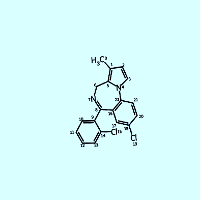 Cc1ccn2c1CN=C(c1ccccc1Cl)c1cc(Cl)ccc1-2